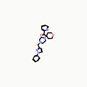 O=C(c1ccccn1)C1(N2CCN(Cc3ccn(-c4ccccc4)n3)CC2)CCOCC1